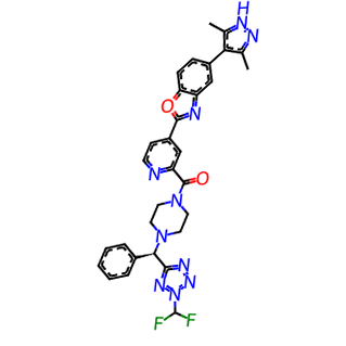 Cc1n[nH]c(C)c1-c1ccc2oc(-c3ccnc(C(=O)N4CCN([C@H](c5ccccc5)c5nnn(C(F)F)n5)CC4)c3)nc2c1